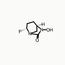 O=C1N(O)[C@@H]2CC[C@@H](F)N1C2